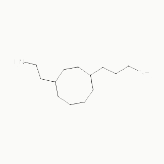 NCCCC1CCCCC(CCN)CC1